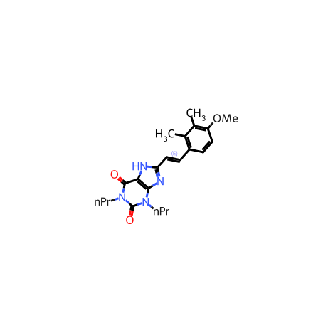 CCCn1c(=O)c2[nH]c(/C=C/c3ccc(OC)c(C)c3C)nc2n(CCC)c1=O